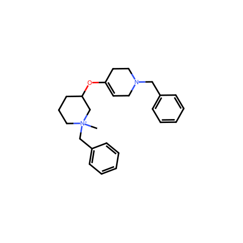 C[N+]1(Cc2ccccc2)CCCC(OC2=CCN(Cc3ccccc3)CC2)C1